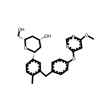 COc1cc(Oc2ccc(Cc3cc([C@H]4C[C@@H](O)C[C@@H](CO)O4)ccc3C)cc2)ncn1